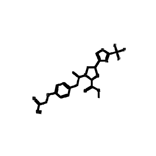 COC(=O)C1OC(c2csc(C(F)(F)F)n2)CN1C(C)Cc1ccc(OCC(=O)O)cc1